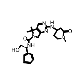 CN1CCC(Nc2ncc3c(n2)CN(C(=O)N[C@H](CO)c2ccccc2)C3(C)C)CC1=O